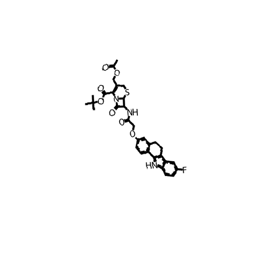 CC(=O)OCC1=C(C(=O)OC(C)(C)C)N2C(=O)C(NC(=O)COc3ccc4c(c3)CCc3c-4[nH]c4ccc(F)cc34)C2SC1